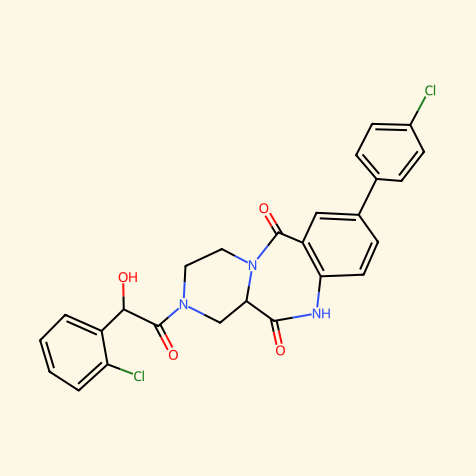 O=C1Nc2ccc(-c3ccc(Cl)cc3)cc2C(=O)N2CCN(C(=O)C(O)c3ccccc3Cl)CC12